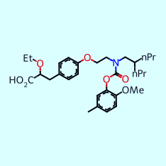 CCCC(CCC)CN(CCOc1ccc(CC(OCC)C(=O)O)cc1)C(=O)Oc1cc(C)ccc1OC